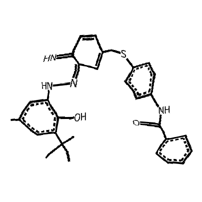 Cc1cc(N/N=C2/C=C(Sc3ccc(NC(=O)c4ccccc4)cc3)C=CC2=N)c(O)c(C(C)(C)C)c1